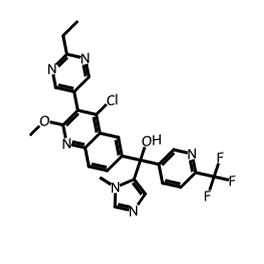 CCc1ncc(-c2c(OC)nc3ccc(C(O)(c4ccc(C(F)(F)F)nc4)c4cncn4C)cc3c2Cl)cn1